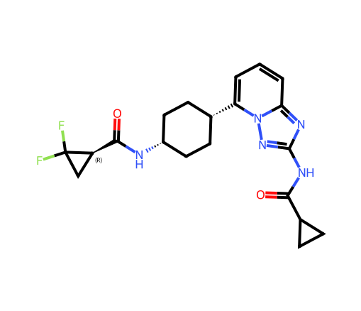 O=C(Nc1nc2cccc([C@H]3CC[C@@H](NC(=O)[C@H]4CC4(F)F)CC3)n2n1)C1CC1